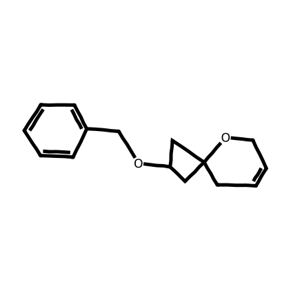 C1=CCC2(CC(OCc3ccccc3)C2)OC1